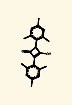 Cc1cc(C)c(C2=C(O)C(c3c(C)cc(C)cc3C)C2=O)c(C)c1